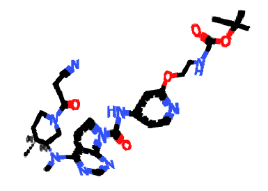 C[C@@H]1CCN(C(=O)CC#N)C[C@@H]1N(C)c1ncnc2c1ccn2C(=O)Nc1ccnc(OCCNC(=O)OC(C)(C)C)c1